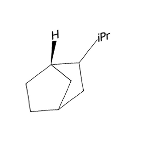 CC(C)C1CC2CC[C@H]1C2